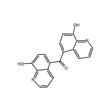 O=C(c1ccc(O)c2ncccc12)c1ccc(O)c2ncccc12